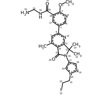 COc1ncc(-c2cc(C)c3c(n2)C(C)(C)N(c2cnn(CCF)c2)C3=O)cc1C(=O)NCN